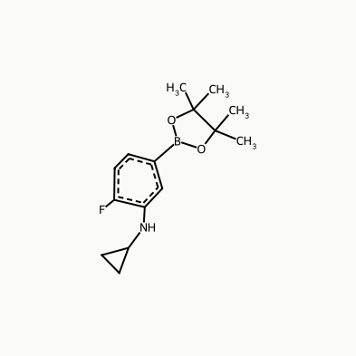 CC1(C)OB(c2ccc(F)c(NC3CC3)c2)OC1(C)C